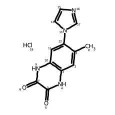 Cc1cc2[nH]c(=O)c(=O)[nH]c2cc1-n1ccnc1.Cl